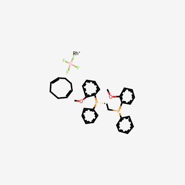 C1=C\CC/C=C\CC/1.COc1ccccc1[P@](CC[P@](c1ccccc1)c1ccccc1OC)c1ccccc1.F[B-](F)(F)F.[Rh+]